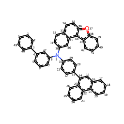 c1ccc(-c2cccc(N(c3ccc(-c4cc5ccccc5c5ccccc45)cc3)c3ccc4ccc5oc6ccccc6c5c4c3)c2)cc1